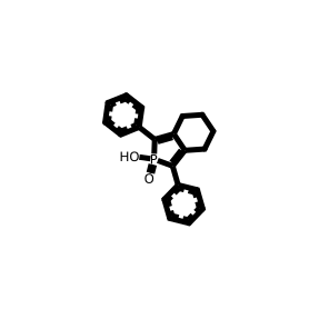 O=P1(O)C(c2ccccc2)=C2CCCCC2=C1c1ccccc1